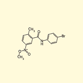 CO[N+](=O)c1ccc(C)c(C(=O)Nc2ccc(Br)cc2)c1